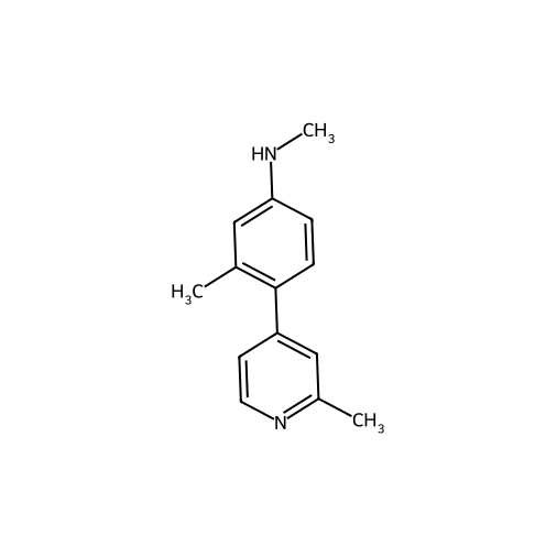 CNc1ccc(-c2ccnc(C)c2)c(C)c1